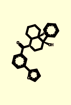 O=C(c1cccc(-c2ccco2)c1)N1CC[C@@](O)(c2ccccc2)[C@H]2CCCCC21